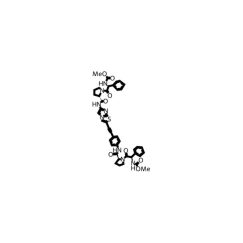 COC(=O)N[C@@H](C(=O)N1CCC[C@H]1C(=O)Nc1ccc(C#Cc2cn3cc(NC(=O)[C@@H]4CCCN4C(=O)[C@H](NC(=O)OC)c4ccccc4)nc3s2)cc1)c1ccccc1